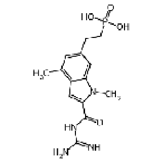 Cc1cc(CCP(=O)(O)O)cc2c1cc(C(=O)NC(=N)N)n2C